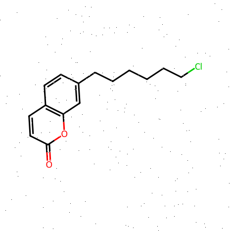 O=c1ccc2ccc(CCCCCCCl)cc2o1